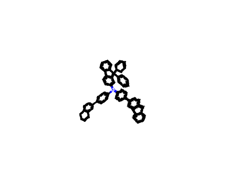 C1=CCC(C2(c3ccccc3)c3ccccc3-c3ccc(N(c4ccc(-c5ccc6c(c5)C=CCC6)cc4)c4ccc(-c5ccc6c(c5)-c5ccccc5C6)cc4)cc32)C=C1